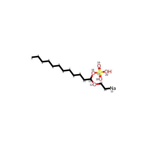 CCCCCCCCCCCC(OC[CH2][Na])OS(=O)(=O)O